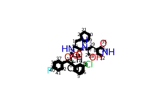 CC(C)(c1cccc(Cl)c1)C(OC(=O)N[C@@H](CC1CCCCC1)C(=O)N[C@H](CO)C[C@@H]1CCNC1=O)c1ccc(F)cc1